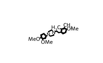 COc1ccc(N2CCN(CCc3ccc(OC)c(C)c3C)CC2)cc1OC